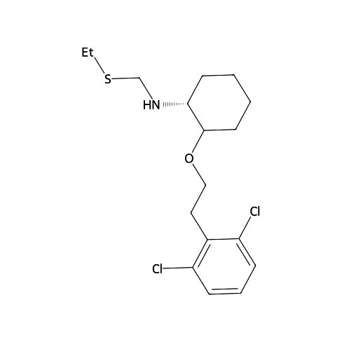 CCSCN[C@@H]1CCCCC1OCCc1c(Cl)cccc1Cl